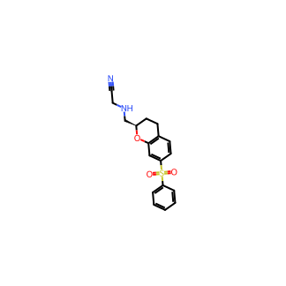 N#CCNC[C@H]1CCc2ccc(S(=O)(=O)c3ccccc3)cc2O1